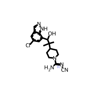 CC(C)(C1CCN(/C(N)=N/C#N)CC1)C(O)c1cc(Cl)cc2cn[nH]c12